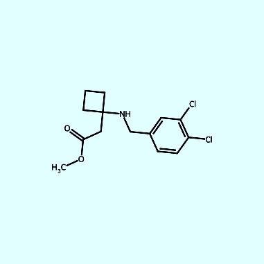 COC(=O)CC1(NCc2ccc(Cl)c(Cl)c2)CCC1